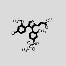 COc1cc(Cl)ccc1-c1csc(C=CC(=O)O)c1-c1ccc(NS(C)(=O)=O)cc1C